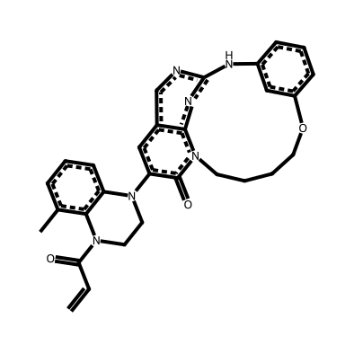 C=CC(=O)N1CCN(c2cc3cnc4nc3n(c2=O)CCCCOc2cccc(c2)N4)c2cccc(C)c21